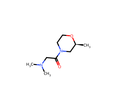 C[C@H]1CN(C(=O)CN(C)C)CCO1